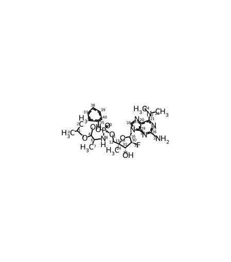 CC(C)OC(O)[C@H](C)NP(=O)(OC[C@@]1(C)O[C@@H](n2cnc3c(N(C)C)nc(N)nc32)[C@@H](F)[C@@H]1O)Oc1ccccc1